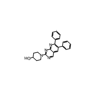 OC1CCN(c2ncc3cc(-c4ccccc4)c(-c4cc[c]cc4)nc3n2)CC1